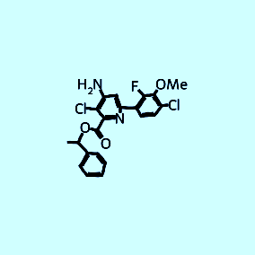 COc1c(Cl)ccc(-c2cc(N)c(Cl)c(C(=O)OC(C)c3ccccc3)n2)c1F